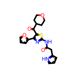 O=C(Cc1ccc[nH]1)Nc1nc(-c2ccco2)c(C(=O)C2CCOCC2)s1